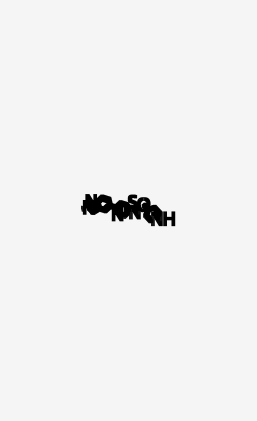 Cn1cc2cc(-c3cc4sc(OC5CCNCC5)nc4cn3)ccc2n1